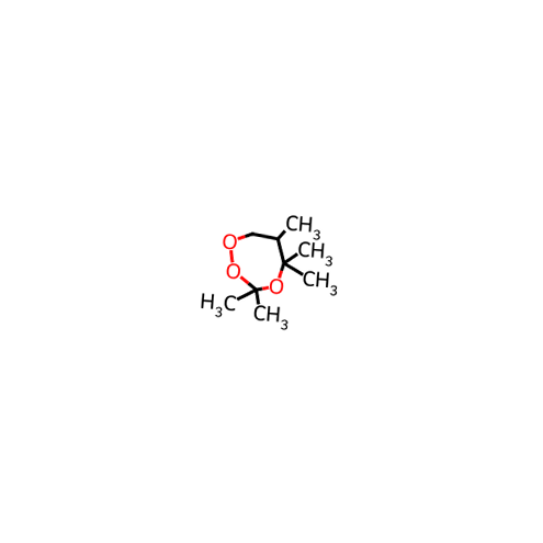 CC1COOC(C)(C)OC1(C)C